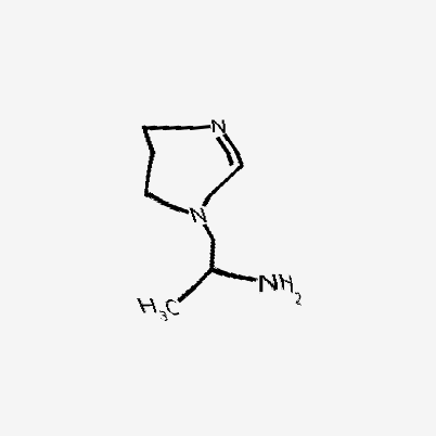 CC(N)N1C=NCC1